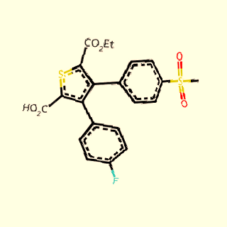 CCOC(=O)c1sc(C(=O)O)c(-c2ccc(F)cc2)c1-c1ccc(S(C)(=O)=O)cc1